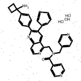 Cl.Cl.Cl.NC1(c2ccc(-c3nc4ccnc(CN(Cc5ccncc5)C(=O)c5ccncc5)c4cc3-c3ccccc3)cc2)CCC1